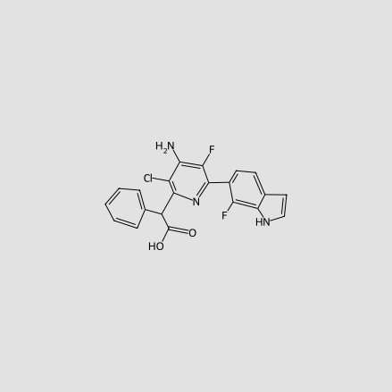 Nc1c(F)c(-c2ccc3cc[nH]c3c2F)nc(C(C(=O)O)c2ccccc2)c1Cl